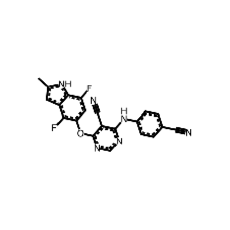 Cc1cc2c(F)c(Oc3ncnc(Nc4ccc(C#N)cc4)c3C#N)cc(F)c2[nH]1